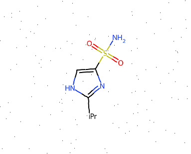 CC(C)c1nc(S(N)(=O)=O)c[nH]1